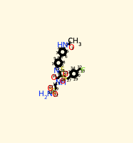 CC(=O)Nc1ccc(-c2ccc3nc(C(C(=O)NCCS(N)(=O)=O)S(=O)(=O)Cc4ccc(CF)cc4)sc3c2)cc1